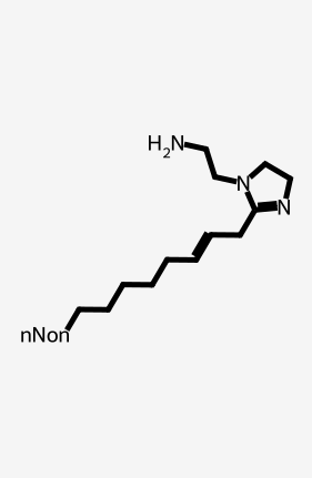 CCCCCCCCCCCCCCC=CCC1=NCCN1CCN